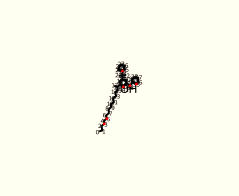 CCCCCCCCCCCCCCCCC(C)c1cc(C(C)(C)c2ccccc2)cc(C(C)c2ccccc2)c1O